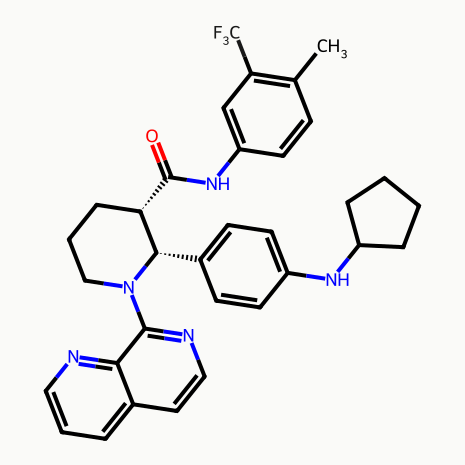 Cc1ccc(NC(=O)[C@H]2CCCN(c3nccc4cccnc34)[C@H]2c2ccc(NC3CCCC3)cc2)cc1C(F)(F)F